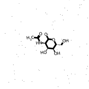 CC(=O)N[C@H]1C([O])O[C@H](CO)[C@@H](O)[C@@H]1O